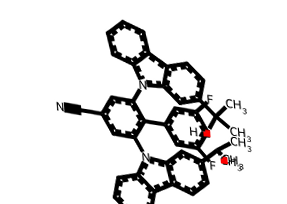 CC(C)(C)c1ccc2c3ccccc3n(-c3cc(C#N)cc(-n4c5ccccc5c5ccc(C(C)(C)C)cc54)c3-c3cc(F)cc(F)c3)c2c1